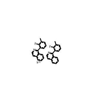 Cc1cccc(-c2nccc3ccccc23)c1F.Cc1cccc(-c2nccc3ccccc23)c1F.[Ir+3]